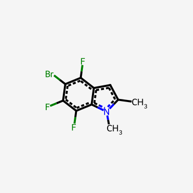 Cc1cc2c(F)c(Br)c(F)c(F)c2n1C